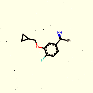 CC(C)C(=N)c1ccc(F)c(OCC2CC2)c1